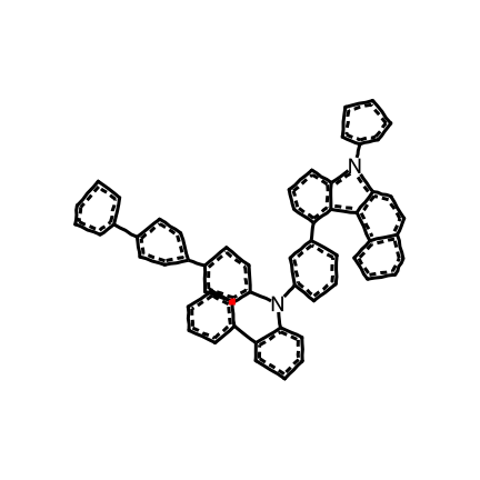 c1ccc(-c2ccc(-c3ccc(N(c4cccc(-c5cccc6c5c5c7ccccc7ccc5n6-c5ccccc5)c4)c4ccccc4-c4ccccc4)cc3)cc2)cc1